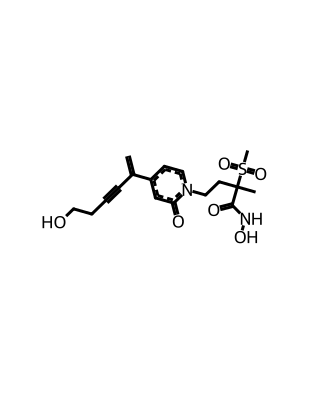 C=C(C#CCCO)c1ccn(CCC(C)(C(=O)NO)S(C)(=O)=O)c(=O)c1